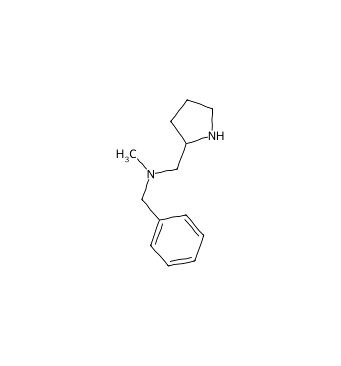 CN(Cc1ccccc1)CC1CCCN1